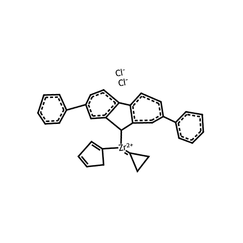 C1=CC[C]([Zr+2](=[C]2CC2)[CH]2c3cc(-c4ccccc4)ccc3-c3ccc(-c4ccccc4)cc32)=C1.[Cl-].[Cl-]